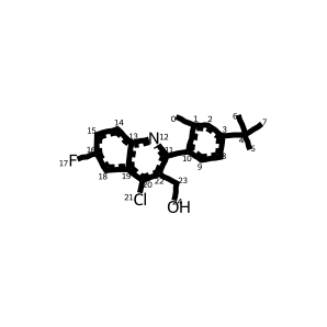 Cc1cc(C(C)(C)C)ccc1-c1nc2ccc(F)cc2c(Cl)c1CO